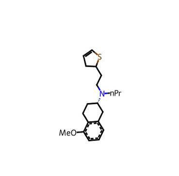 CCCN(CCC1CC=CS1)[C@H]1CCc2c(cccc2OC)C1